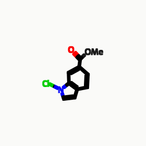 COC(=O)c1ccc2ccn(Cl)c2c1